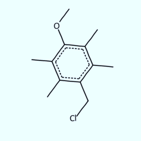 COc1c(C)c(C)c(CCl)c(C)c1C